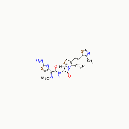 CON=C(C(=O)NC1C(=O)N2C(C(=O)O)=C(C=Cc3scnc3C)CS[C@H]12)c1csc(N)n1